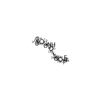 CCS(=O)(=O)c1ccc(CC(=O)Nc2ccc(C#CC(C)(C)Oc3ccc(C(F)(F)F)cc3)cc2)cc1